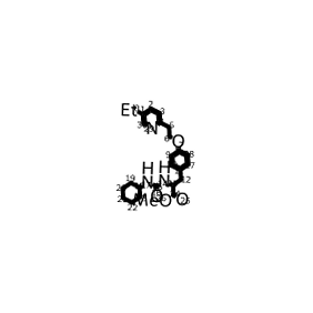 CCc1ccc(CCOc2ccc(CC(NC(=O)NC3CCCCC3)C(=O)OC)cc2)nc1